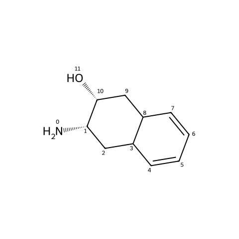 N[C@H]1CC2C=CC=CC2C[C@H]1O